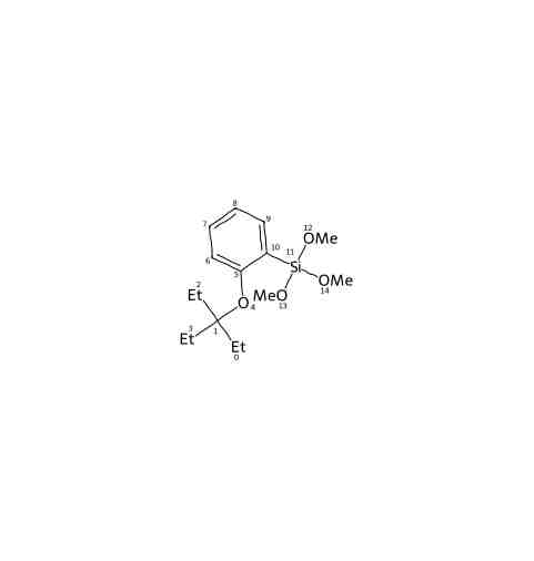 CCC(CC)(CC)Oc1ccccc1[Si](OC)(OC)OC